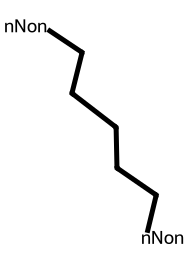 CCCCCCCCCCCCCCCCCCCCCCC